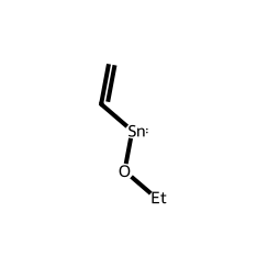 C=[CH][Sn][O]CC